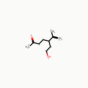 C=C(C)C(CCO)CCC(C)=O